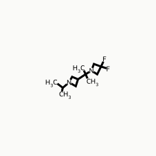 CC(C)N1CC(C(C)(C)N2CC(F)(F)C2)C1